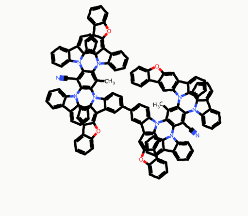 Cc1c(-n2c3ccccc3c3cc4oc5ccccc5c4cc32)c(-n2c3ccccc3c3ccccc32)c(C#N)c(-n2c3ccccc3c3ccccc32)c1-n1c2ccc(-c3ccc4c(c3)c3c5oc6ccccc6c5ccc3n4-c3c(C)c(-n4c5ccccc5c5c6oc7ccccc7c6ccc54)c(-n4c5ccccc5c5ccccc54)c(C#N)c3-n3c4ccccc4c4ccccc43)cc2c2cc3oc4ccccc4c3cc21